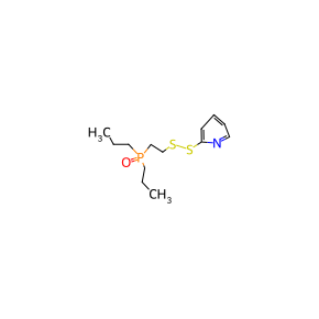 CCCP(=O)(CCC)CCSSc1ccccn1